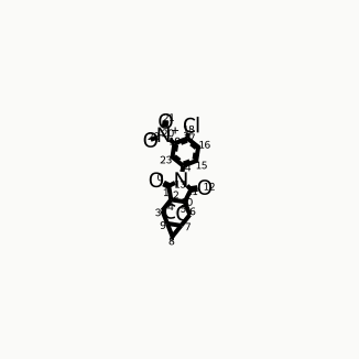 O=C1C2C3CCC(C4CC43)C2C(=O)N1c1ccc(Cl)c([N+](=O)[O-])c1